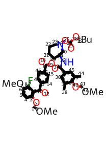 COCOc1ccc(OC)c(F)c1C(=O)c1ccc(C(=O)O[C@@H]2CCCN(OC(=O)OC(C)(C)C)C[C@H]2NC(=O)c2cc(C)c(OCOC)c(C)c2)cc1